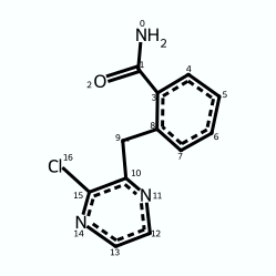 NC(=O)c1ccccc1[CH]c1nccnc1Cl